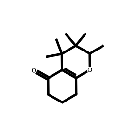 CC1OC2=C(C(=O)CCC2)C(C)(C)C1(C)C